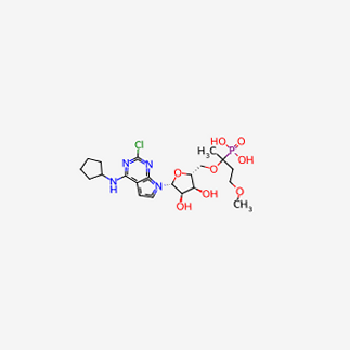 COCCC(C)(OC[C@H]1O[C@@H](n2ccc3c(NC4CCCC4)nc(Cl)nc32)[C@H](O)[C@@H]1O)P(=O)(O)O